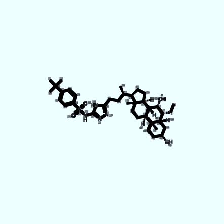 CC[C@H]1[C@@H](O)[C@@H]2[C@H](CC[C@]3(C)[C@@H]([C@H](C)CCc4nnc(NS(=O)(=O)c5ccc(C(C)(C)C)cc5)[nH]4)CC[C@@H]23)[C@@]2(C)CC[C@@H](O)C[C@@H]12